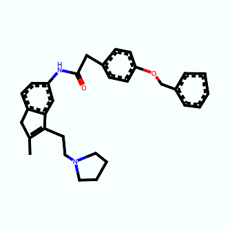 CC1=C(CCN2CCCC2)c2cc(NC(=O)Cc3ccc(OCc4ccccc4)cc3)ccc2C1